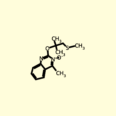 CSCC(C)(C)Oc1nc2ccccc2c(C)[n+]1[O-]